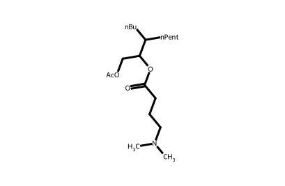 CCCCCC(CCCC)C(COC(C)=O)OC(=O)CCCN(C)C